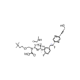 CNC(=O)[C@]12C[C@H]1[C@@](C)(c1cc(/C=C(\F)c3cnc(C#CCO)cn3)ccc1F)N=C(N(COCC[Si](C)(C)C)C(=O)O)S2